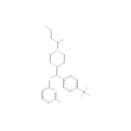 Cc1cccc(OC(c2ccc(C(F)(F)F)cc2)C2CCN(C(C)CCN)CC2)n1